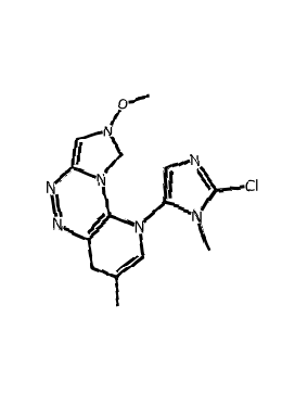 CON1C=C2N=NC3=C(N2C1)N(c1cnc(Cl)n1C)C=C(C)C3